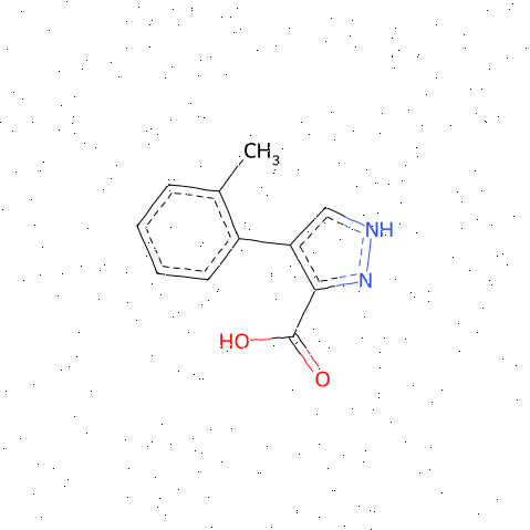 Cc1ccccc1-c1c[nH]nc1C(=O)O